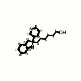 OCCCCCCC1(c2cccnc2)C=c2ccccc2=N1